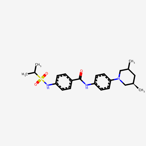 CC1C[C@@H](C)CN(c2ccc(NC(=O)c3ccc(NS(=O)(=O)C(C)C)cc3)cc2)C1